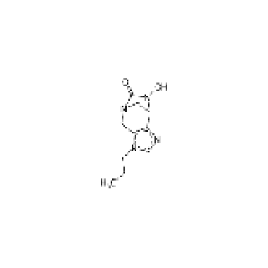 CCCn1cnc2c1CN1CC2N(O)C1=O